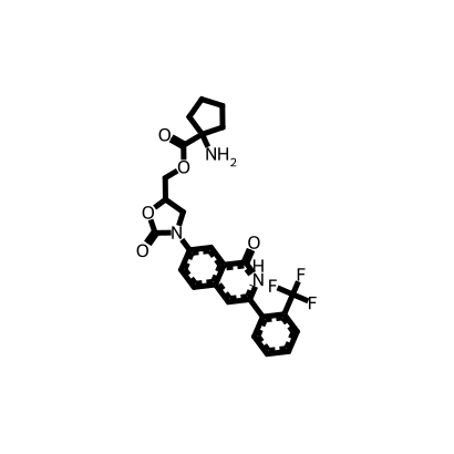 NC1(C(=O)OCC2CN(c3ccc4cc(-c5ccccc5C(F)(F)F)[nH]c(=O)c4c3)C(=O)O2)CCCC1